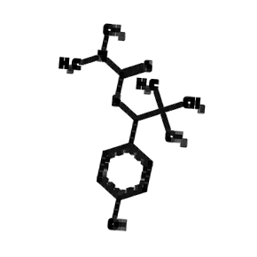 CN(C)C(=S)SC(c1ccc(O)cc1)C(C)(C)C